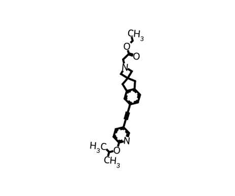 CCOC(=O)CN1CC2(Cc3ccc(C#Cc4ccc(OC(C)C)nc4)cc3C2)C1